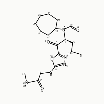 CC(C)C[C@@H](C(=O)c1nnc(SCC(=O)N(C)C)o1)N(C=O)C1CCCCCC1